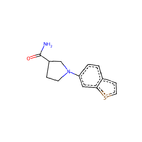 NC(=O)C1CCN(c2ccc3ccsc3c2)C1